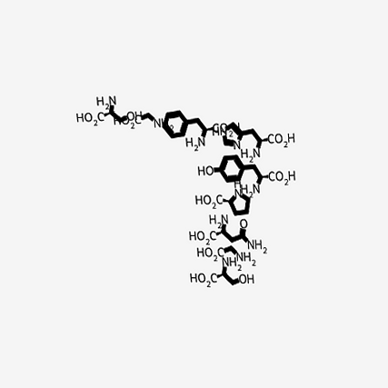 NC(=O)C[C@H](N)C(=O)O.NCC(=O)O.NCC(=O)O.N[C@@H](CO)C(=O)O.N[C@@H](CO)C(=O)O.N[C@@H](Cc1c[nH]cn1)C(=O)O.N[C@@H](Cc1ccc(O)cc1)C(=O)O.N[C@@H](Cc1ccccc1)C(=O)O.O=C(O)[C@@H]1CCCN1